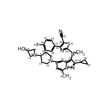 Cc1cc(N2CCC(N3CC(O)C3)CC2)cc2c(N(C)c3nc(-c4ccc(F)cc4)c(C#N)s3)c(C3CC3)nn12